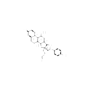 C[C@]12C=CC(=O)C=C1CC[C@H]1[C@@H]3C[C@H]4CN(c5ccc(Cl)cc5)O[C@@]4(C(=O)OCCF)[C@@]3(C)C[C@H](O)[C@@]12F